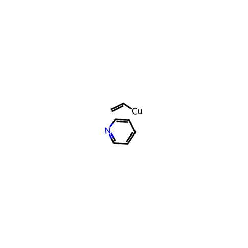 C=[CH][Cu].c1ccncc1